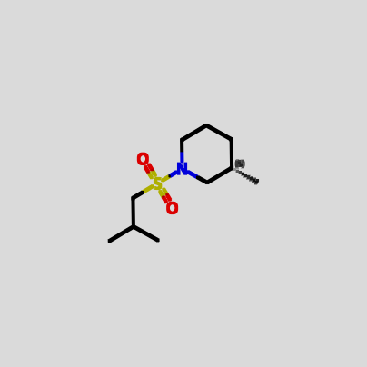 CC(C)CS(=O)(=O)N1CCC[C@H](C)C1